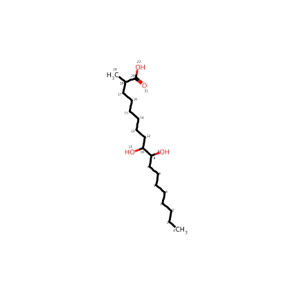 CCCCCCCCC(O)C(O)CCCCCCC(C)C(=O)O